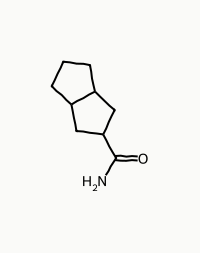 NC(=O)C1CC2CCCC2C1